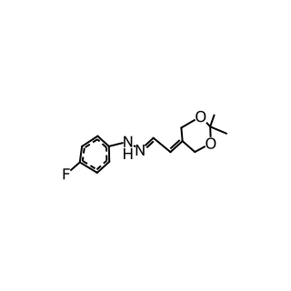 CC1(C)OCC(=CC=NNc2ccc(F)cc2)CO1